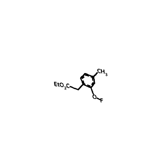 CCOC(=O)Cc1ccc(C)cc1OF